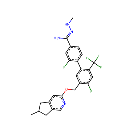 CN/N=C(\N)c1ccc(-c2cc(COc3cc4c(cn3)CC(C)C4)c(F)cc2C(F)(F)F)c(F)c1